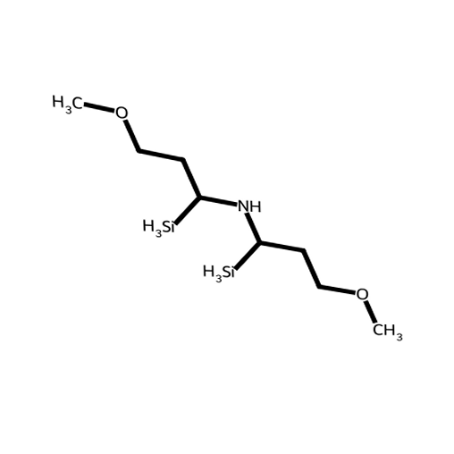 COCCC([SiH3])NC([SiH3])CCOC